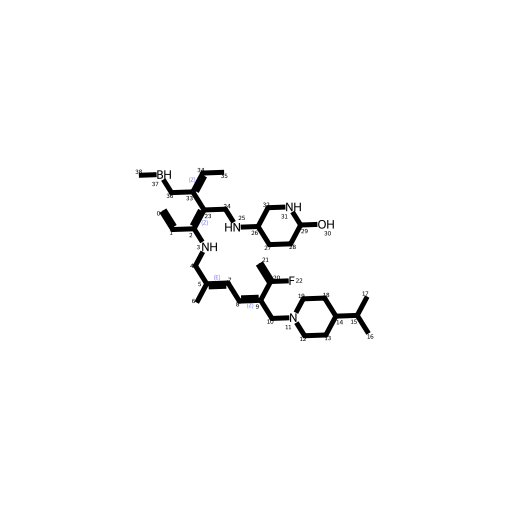 C=C/C(NC/C(C)=C/C=C(/CN1CCC(C(C)C)CC1)C(=C)F)=C(CNC1CCC(O)NC1)\C(=C/C)CBC